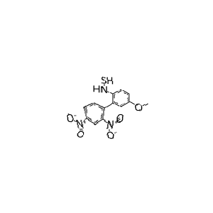 COc1ccc(NS)c(-c2ccc([N+](=O)[O-])cc2[N+](=O)[O-])c1